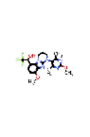 COc1nc(C)c(N2CCCn3c2nc2c(OC)ccc(C(O)C(F)(F)F)c23)c(C)n1